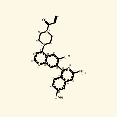 C=CC(=O)N1CCN(c2ncnc3cc(-c4nc(N)cc5cc(OC)ccc45)c(Cl)cc23)CC1